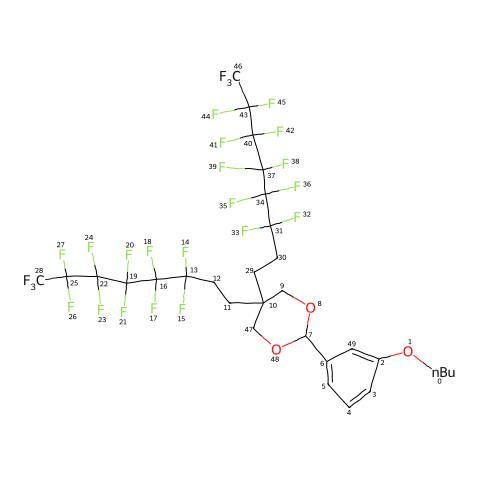 CCCCOc1cccc(C2OCC(CCC(F)(F)C(F)(F)C(F)(F)C(F)(F)C(F)(F)C(F)(F)F)(CCC(F)(F)C(F)(F)C(F)(F)C(F)(F)C(F)(F)C(F)(F)F)CO2)c1